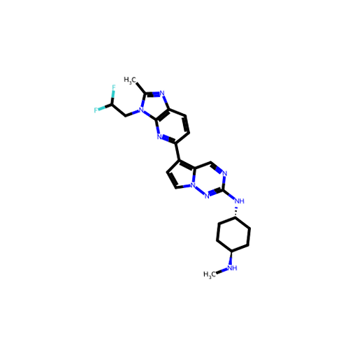 CN[C@H]1CC[C@H](Nc2ncc3c(-c4ccc5nc(C)n(CC(F)F)c5n4)ccn3n2)CC1